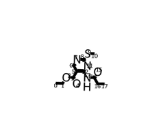 CCOC(=O)c1cnc(SC)nc1NC(=O)CC